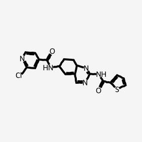 O=C(NC1C=C2C=NC(NC(=O)c3cccs3)=NC2CC1)c1ccnc(Cl)c1